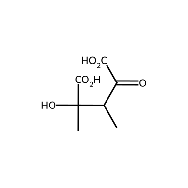 CC(C(=O)C(=O)O)C(C)(O)C(=O)O